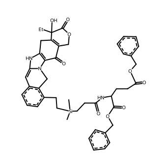 CCC1(O)C(=O)OCC2=C1CC1=C(C2=O)N2Cc3c(cccc3CC[Si](C)(C)CCC(=O)NC(CCC(=O)OCc3ccccc3)C(=O)OCc3ccccc3)C=C2N1